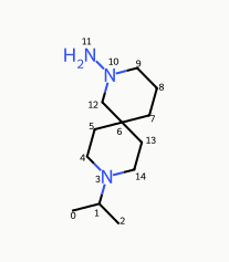 CC(C)N1CCC2(CCCN(N)C2)CC1